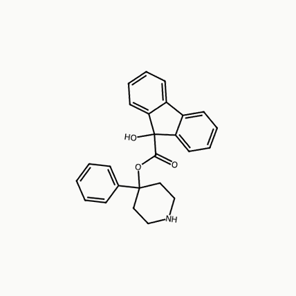 O=C(OC1(c2ccccc2)CCNCC1)C1(O)c2ccccc2-c2ccccc21